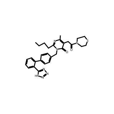 CCCCc1nc(C)c(CC(=O)N2CCSCC2)c(=O)n1Cc1ccc(-c2ccccc2-c2nnn[nH]2)cc1